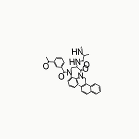 CNC(C)C(=O)NC1CN(C(=O)c2cccc(C(C)=O)c2)c2ccccc2N(Cc2c(C)ccc3ccccc23)C1=O